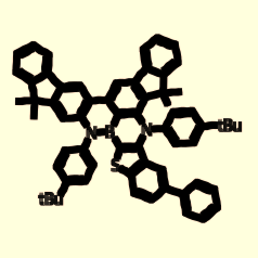 CC(C)(C)c1ccc(N2B3c4sc5ccc(-c6ccccc6)cc5c4N(c4ccc(C(C)(C)C)cc4)c4c3c(cc3c4C(C)(C)c4ccccc4-3)-c3cc4c(cc32)C(C)(C)c2ccccc2-4)cc1